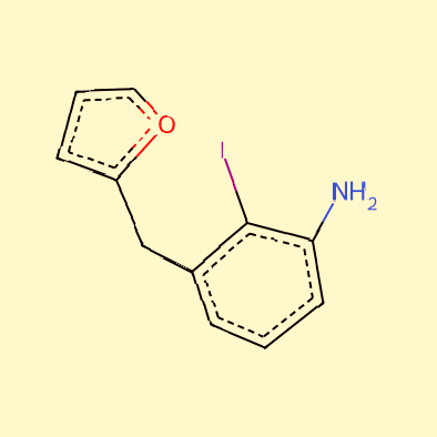 Nc1cccc(Cc2ccco2)c1I